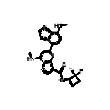 CNc1ccc(-c2cc(NC)n3ncc(C(=O)NC4CCC4(F)F)c3n2)n2ccnc12